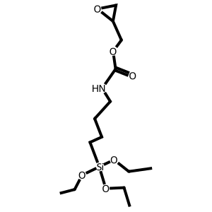 CCO[Si](CCCCNC(=O)OCC1CO1)(OCC)OCC